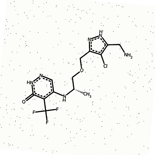 C[C@@H](COCc1n[nH]c(CN)c1Cl)Nc1cn[nH]c(=O)c1C(F)(F)F